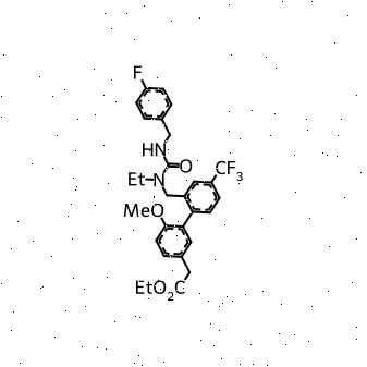 CCOC(=O)Cc1ccc(OC)c(-c2ccc(C(F)(F)F)cc2CN(CC)C(=O)NCc2ccc(F)cc2)c1